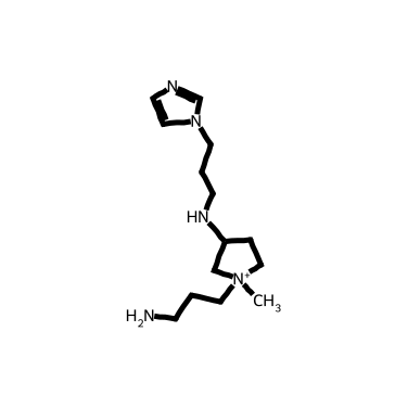 C[N+]1(CCCN)CCC(NCCCn2ccnc2)C1